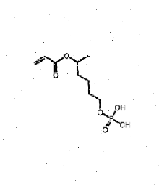 C=CC(=O)OC(C)CCCCOP(=O)(O)O